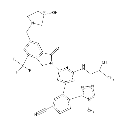 CC(C)CNc1cc(-c2cc(C#N)ccc2-c2nncn2C)cc(N2Cc3c(cc(CN4CC[C@H](O)C4)cc3C(F)(F)F)C2=O)n1